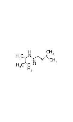 CC(C)SCC(=O)NC(C)C(C)C